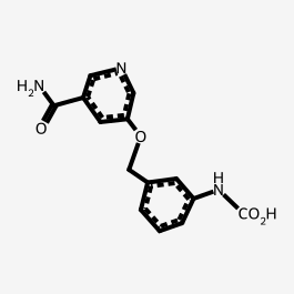 NC(=O)c1cncc(OCc2cccc(NC(=O)O)c2)c1